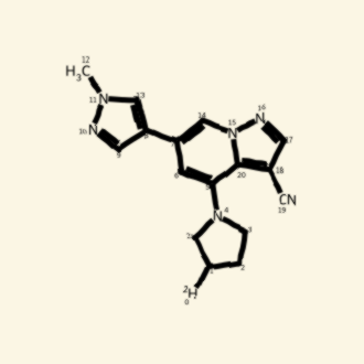 [2H]C1CCN(c2cc(-c3cnn(C)c3)cn3ncc(C#N)c23)C1